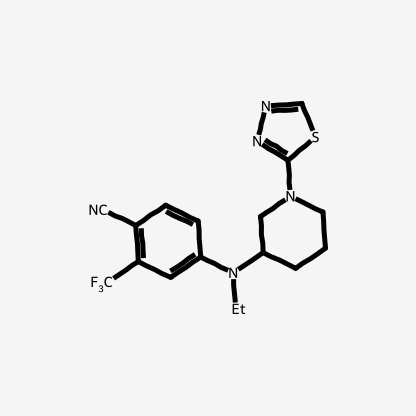 CCN(c1ccc(C#N)c(C(F)(F)F)c1)C1CCCN(c2nncs2)C1